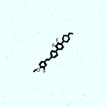 CCOc1ccc(/C=C/c2ccc(-c3ccc(C4CCC(CC)CC4)c(F)c3F)cc2)cc1F